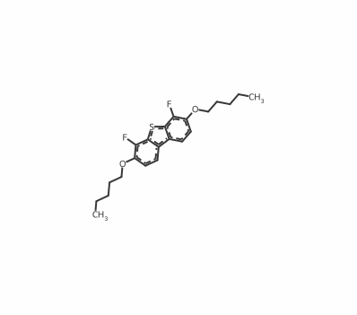 CCCCCOc1ccc2c(sc3c(F)c(OCCCCC)ccc32)c1F